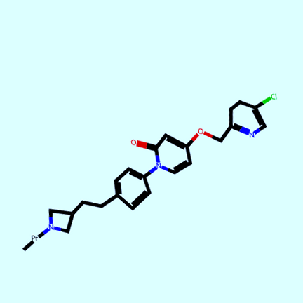 [CH3][Pr][N]1CC(CCc2ccc(-n3ccc(OCC4=NC=C(Cl)CC4)cc3=O)cc2)C1